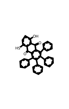 O=C1c2c(O)ccc(S)c2C(=O)c2c1c(-c1ccccc1)c(-c1ccccc1)c(-c1ccccc1)c2-c1ccccc1